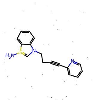 NS1=CN(CCC#Cc2ccccn2)c2ccccc21